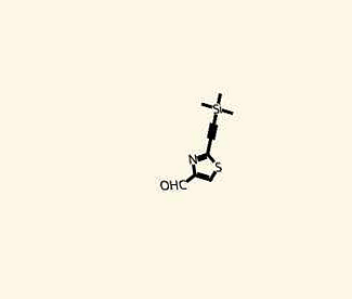 C[Si](C)(C)C#Cc1nc(C=O)cs1